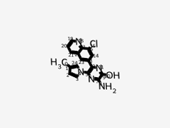 Cc1ccn(-c2nc(N)c(O)nc2-c2cc(Cl)c3ncccc3c2)c1